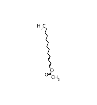 CCCCCCCCCC=CC=COC(C)=O